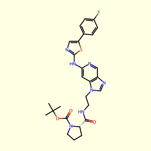 CC(C)(C)OC(=O)N1CCC[C@H]1C(=O)NCCn1cnc2cnc(Nc3ncc(-c4ccc(F)cc4)s3)cc21